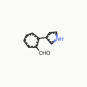 O=Cc1ccccc1-c1cc[nH]c1